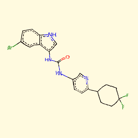 O=C(Nc1ccc(C2CCC(F)(F)CC2)nc1)Nc1c[nH]c2ccc(Br)cc12